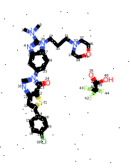 CN(C)c1nc2cc(-n3cnc4cc(-c5ccc(Cl)cc5)sc4c3=O)ccc2n1CCCN1CCOCC1.O=C(O)C(F)(F)F